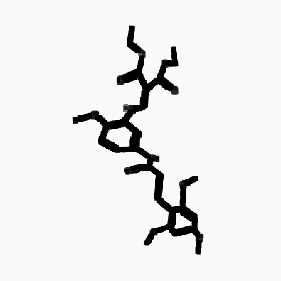 CCOC(=O)C(=CNc1cc(NC(=O)C=Cc2c(OC)cc(OC)cc2OC)ccc1OC)C(=O)OCC